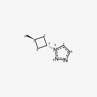 C[C@H]1C[C@H](n2ccnn2)C1